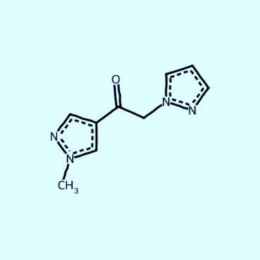 Cn1cc(C(=O)Cn2cccn2)cn1